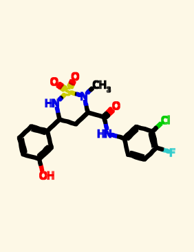 CN1C(C(=O)Nc2ccc(F)c(Cl)c2)CC(c2cccc(O)c2)NS1(=O)=O